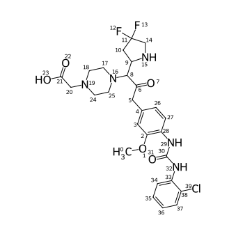 COc1cc(CC(=O)C(C2CC(F)(F)CN2)N2CCN(CC(=O)O)CC2)ccc1NC(=O)Nc1ccccc1Cl